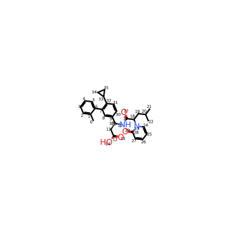 Cc1ccccc1-c1cc([C@H](CC(=O)O)NC(=O)C(CC(C)C)n2ccccc2=O)ccc1C1CC1